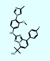 COc1cc(Nc2nc3c(-c4ccc(F)cc4)ccc(C(C)(C)O)n3n2)ccc1-n1cnc(C)c1